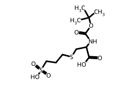 CC(C)(C)OC(=O)NC(CSCCCS(=O)(=O)O)C(=O)O